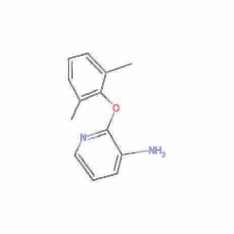 Cc1cccc(C)c1Oc1ncccc1N